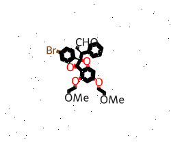 COCCOc1cc(OCCOC)c2c(c1)O[C@@](c1ccc(Br)cc1)([C@@H](CC=O)c1ccccc1)C2=O